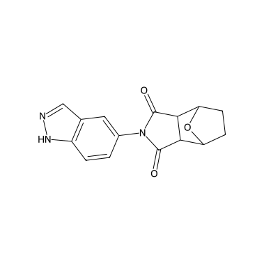 O=C1C2C3CCC(O3)C2C(=O)N1c1ccc2[nH]ncc2c1